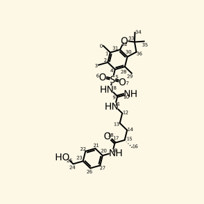 Cc1c(C)c(S(=O)(=O)NC(=N)NCCC[C@H](C)C(=O)Nc2ccc(CO)cc2)c(C)c2c1OC(C)(C)C2